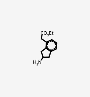 CCOC(=O)Cc1cccc2c1CC(N)C2